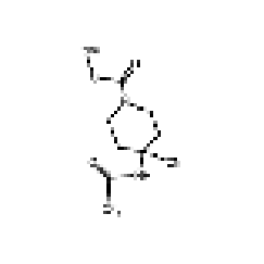 CC(C)(C)OC(=O)N1CCC(C#N)(NC(=O)C(F)(F)F)CC1